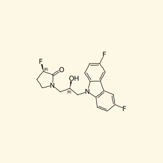 O=C1[C@H](F)CCN1C[C@@H](O)Cn1c2ccc(F)cc2c2cc(F)ccc21